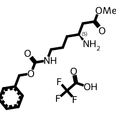 COC(=O)C[C@@H](N)CCCNC(=O)OCc1ccccc1.O=C(O)C(F)(F)F